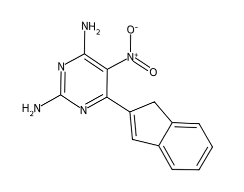 Nc1nc(N)c([N+](=O)[O-])c(C2=Cc3ccccc3C2)n1